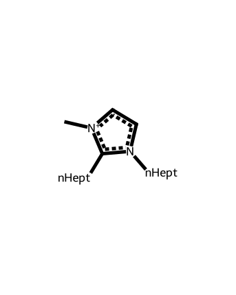 CCCCCCCc1n(CCCCCCC)cc[n+]1C